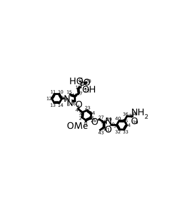 COc1cc(COc2nn(-c3ccccc3)cc2C=CP(=O)(O)O)ccc1OCc1nc(-c2cccc(CC(N)=O)c2)oc1C